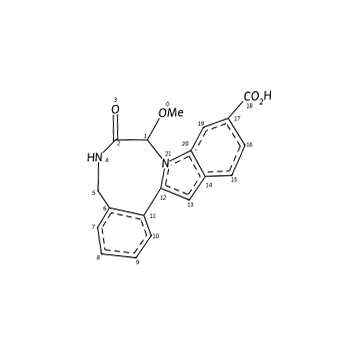 COC1C(=O)NCc2ccccc2-c2cc3ccc(C(=O)O)cc3n21